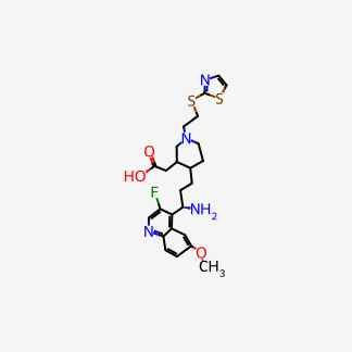 COc1ccc2ncc(F)c([C@H](N)CCC3CCN(CCSc4nccs4)CC3CC(=O)O)c2c1